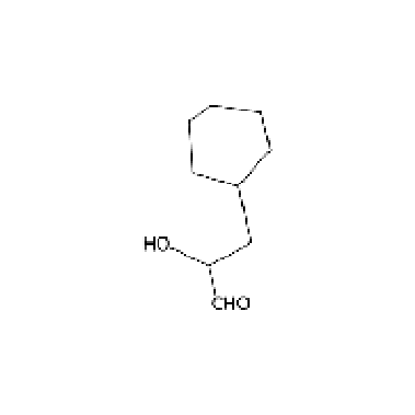 O=CC(O)CC1CCCCC1